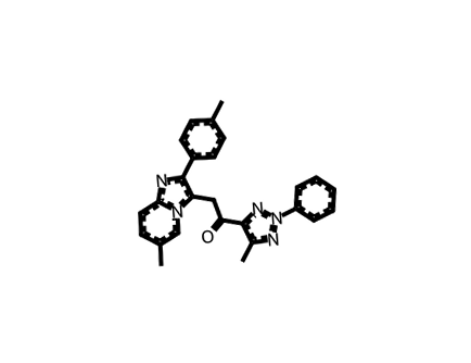 Cc1ccc(-c2nc3ccc(C)cn3c2CC(=O)c2nn(-c3ccccc3)nc2C)cc1